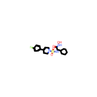 O=C(NO)C(NS(=O)(=O)N1CC=C(c2ccc(F)cc2)CC1)C1CCCCC1